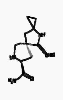 Cl.NC(=O)[C@@H]1C[C@]2(CN1)CC1(CC1)NC2=O